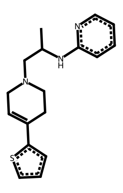 CC(CN1CC=C(c2cccs2)CC1)Nc1ccccn1